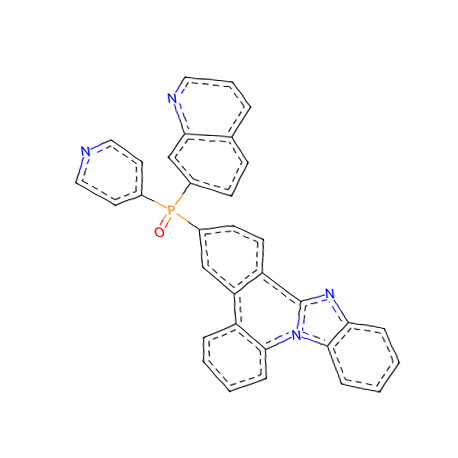 O=P(c1ccncc1)(c1ccc2cccnc2c1)c1ccc2c(c1)c1ccccc1n1c3ccccc3nc21